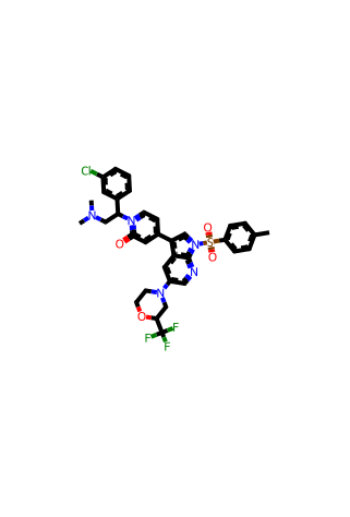 Cc1ccc(S(=O)(=O)n2cc(-c3ccn(C(CN(C)C)c4cccc(Cl)c4)c(=O)c3)c3cc(N4CCOC(C(F)(F)F)C4)cnc32)cc1